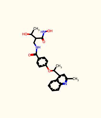 Cc1cc(C(C)Oc2ccc(C(=O)NCC(C(=O)NO)C(C)O)cc2)c2ccccc2n1